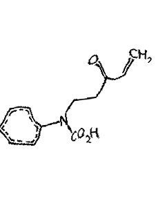 C=CC(=O)CCN(C(=O)O)c1ccccc1